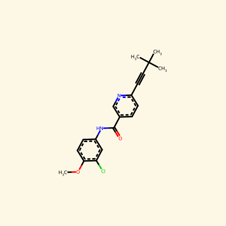 COc1ccc(NC(=O)c2ccc(C#CC(C)(C)C)nc2)cc1Cl